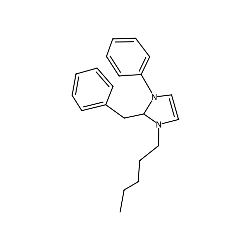 CCCCCN1C=CN(c2ccccc2)C1Cc1ccccc1